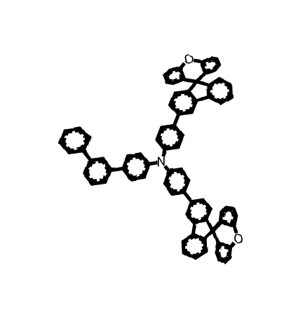 c1ccc(-c2cccc(-c3ccc(N(c4ccc(-c5ccc6c(c5)-c5ccccc5C65c6ccccc6Oc6ccccc65)cc4)c4ccc(-c5ccc6c(c5)-c5ccccc5C65c6ccccc6Oc6ccccc65)cc4)cc3)c2)cc1